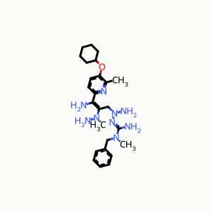 Cc1nc(/C(N)=C(\CN(N)/N=C(\N)N(C)Cc2ccccc2)N(C)N)ccc1OC1CCCCC1